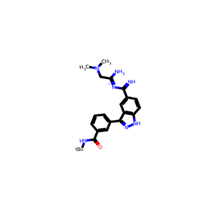 CN(C)C/C(N)=N/C(=N)c1ccc2[nH]nc(-c3cccc(C(=O)NC(C)(C)C)c3)c2c1